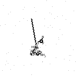 CCCCCCCCCCCCCCCCCCC[C@H](COP(=O)(O)OC[C@@]1(C)O[C@@H](c2ccc3c(N)ncnn23)[C@@H]2OC(C)(C)O[C@@H]21)OCc1cc(F)cc(C#N)c1